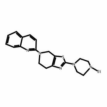 CCN1CCN(c2nc3c(s2)CN(c2ccc4ccccc4n2)CC3)CC1